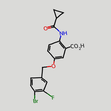 O=C(O)c1cc(OCc2ccc(Br)c(F)c2)ccc1NC(=O)C1CC1